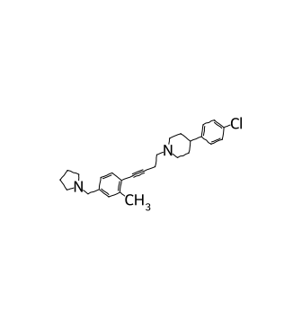 Cc1cc(CN2CCCC2)ccc1C#CCCN1CCC(c2ccc(Cl)cc2)CC1